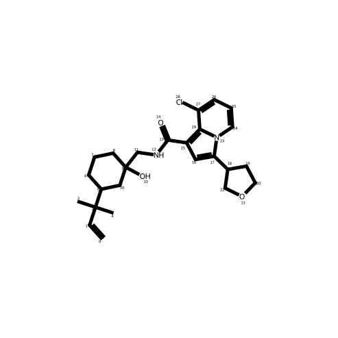 C=CC(C)(C)C1CCCC(O)(CNC(=O)c2cc(C3CCOC3)n3cccc(Cl)c23)C1